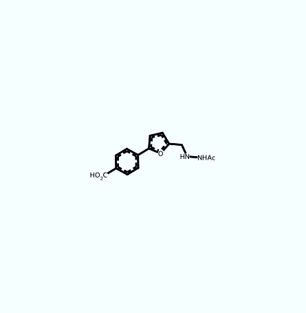 CC(=O)NNCc1ccc(-c2ccc(C(=O)O)cc2)o1